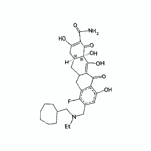 CCN(Cc1cc(O)c2c(c1F)CC1C[C@H]3CC(O)=C(C(N)=O)C(=O)[C@@]3(O)C(O)=C1C2=O)CC1CCCCCC1